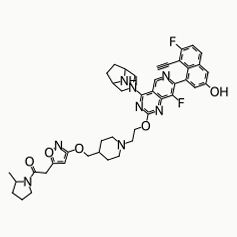 C#Cc1c(F)ccc2cc(O)cc(-c3ncc4c(N5CC6CCC(C5)N6)nc(OCCN5CCC(COc6cc(CC(=O)N7CCCC7C)on6)CC5)nc4c3F)c12